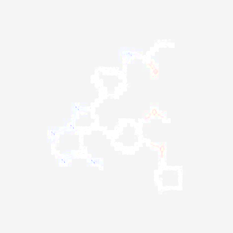 C=CC(=O)Nc1ccc(-c2nn3ncnc(N)c3c2-c2ccc(OC3CCCC3)c(OC)c2)cc1